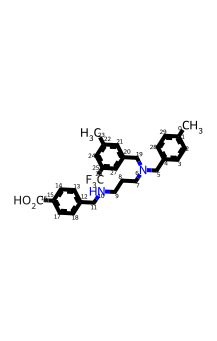 Cc1ccc(CN(CCCNCc2ccc(C(=O)O)cc2)Cc2cc(C)cc(C(F)(F)F)c2)cc1